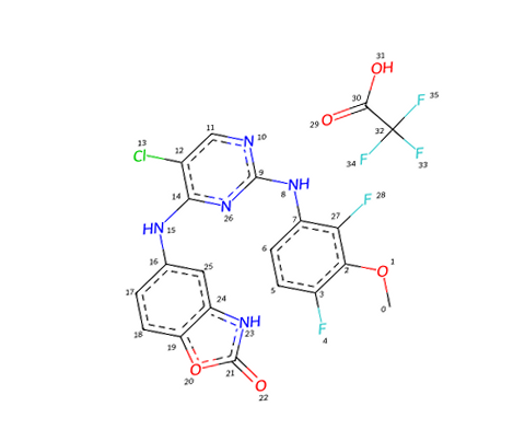 COc1c(F)ccc(Nc2ncc(Cl)c(Nc3ccc4oc(=O)[nH]c4c3)n2)c1F.O=C(O)C(F)(F)F